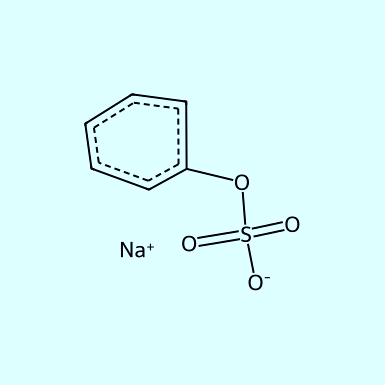 O=S(=O)([O-])Oc1ccccc1.[Na+]